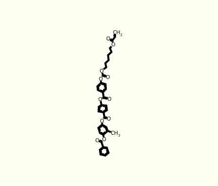 C=CC(=O)OCCCCCCOC(=O)Oc1ccc(C(=O)Oc2ccc(C(=O)Oc3ccc(OC(=O)c4ccccc4)c(C)c3)cc2)cc1